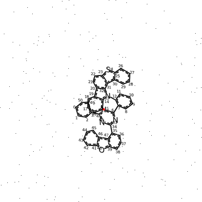 c1ccc(-c2nc(-c3ccccc3-n3c4ccccc4c4ccc5sc6ccccc6c5c43)nc(-c3cccc4oc5ccccc5c34)n2)cc1